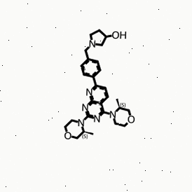 C[C@H]1COCCN1c1nc(N2CCOC[C@@H]2C)c2ccc(-c3ccc(CN4CCC(O)C4)cc3)nc2n1